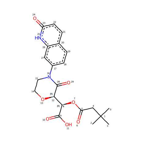 CC(C)(C)CC(=O)O[C@@H](C(=O)O)[C@H]1OCCN(c2ccc3ccc(=O)[nH]c3c2)C1=O